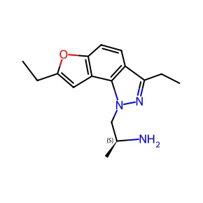 CCc1cc2c(ccc3c(CC)nn(C[C@H](C)N)c32)o1